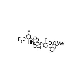 CCN(NC(=O)c1cc(F)cc(C(F)(F)F)c1)C(=O)NCc1ccc(-c2cccc(F)c2C(=O)OC)cc1F